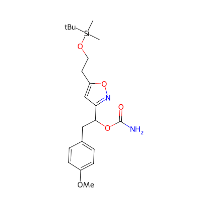 COc1ccc(CC(OC(N)=O)c2cc(CCO[Si](C)(C)C(C)(C)C)on2)cc1